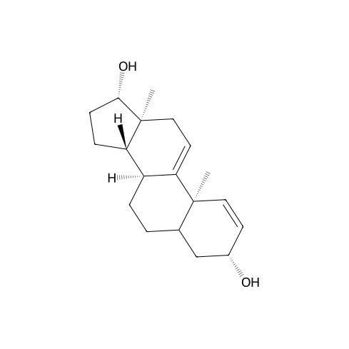 C[C@]12CC=C3[C@@H](CCC4C[C@@H](O)C=C[C@]34C)[C@@H]1CC[C@@H]2O